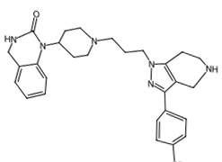 O=C1NCc2ccccc2N1C1CCN(CCCn2nc(-c3ccc(C(F)(F)F)cc3)c3c2CCNC3)CC1